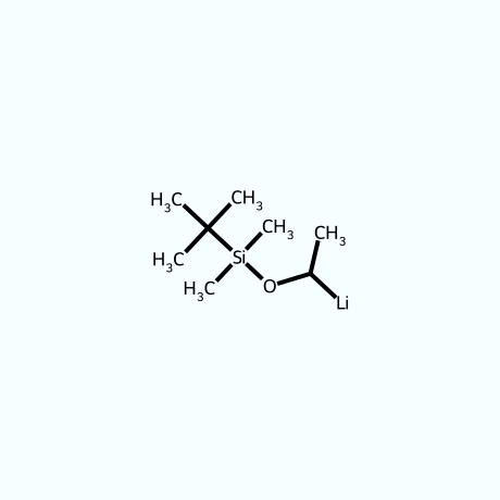 [Li][CH](C)O[Si](C)(C)C(C)(C)C